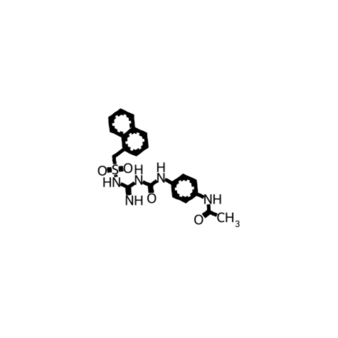 CC(=O)Nc1ccc(NC(=O)NC(=N)NS(=O)(=O)Cc2cccc3ccccc23)cc1